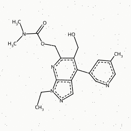 CCn1ncc2c(-c3cncc(C)c3)c(CO)c(COC(=O)N(C)C)nc21